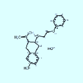 CN(C)C1Cc2cc(O)ccc2CC1SCCOc1ccccc1.Cl